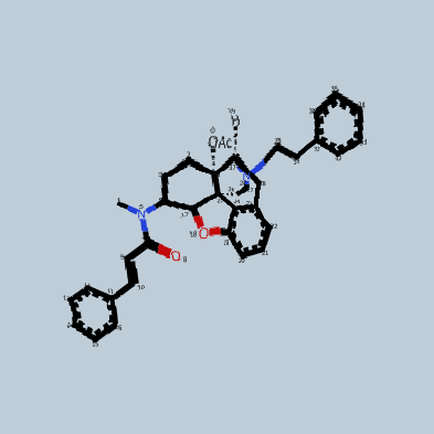 CC(=O)O[C@@]12CCC(N(C)C(=O)/C=C/c3ccccc3)C3Oc4cccc5c4[C@@]31CCN(CCc1ccccc1)[C@@H]2C5